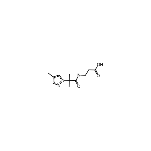 Cc1cnn(C(C)(C)C(=O)NCCC(=O)O)c1